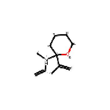 [CH]=C(C)C1([SiH](C)C=C)CCCCO1